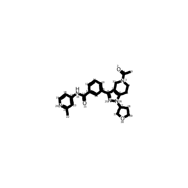 CC(=O)N1CCc2c(c(-c3cccc(C(=O)Nc4ccnc(C)c4)c3)nn2C2CCOC2)C1